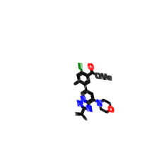 C=C(C)c1nc2c(N3CCOCC3)cc(-c3cc(C(=O)OC)c(F)cc3C)cn2n1